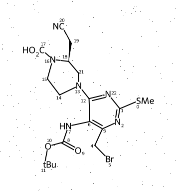 CSc1nc(CBr)c(NC(=O)OC(C)(C)C)c(N2CCN(C(=O)O)[C@@H](CC#N)C2)n1